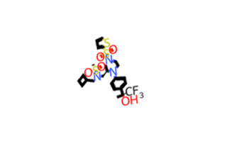 C[C@](O)(c1ccc(N2CCN(S(=O)(=O)c3cccs3)C[C@@H]2CN(CC2CCC2)S(C)(=O)=O)cc1)C(F)(F)F